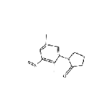 C=Nc1cc(C)cc(N2CCCC2=O)c1C